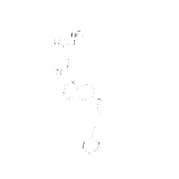 CCCOC(=O)C1CCN(Cc2ccc3cc(O[C@H]4CC[C@H](c5ccccc5)CC4)ccc3n2)CC1